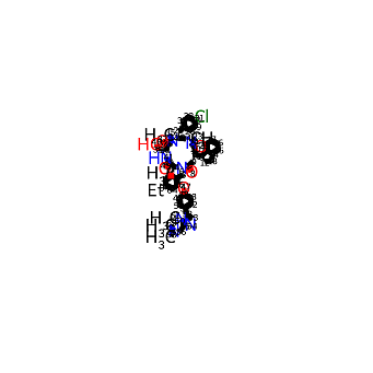 CCc1ccc(CN2C(=O)C[C@@H]([C@@H]3CCc4ccccc43)C(=O)N(C)C[C@@H](Cc3ccc(Cl)cc3)N(C)C(=O)[C@H](CO)NC(=O)[C@@H]2C)c(Oc2ccc(-c3cnc(CN(C)C)n3C)cc2)c1